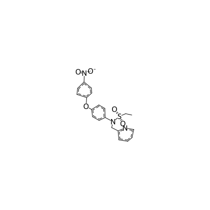 CCS(=O)(=O)N(Cc1ccccn1)c1ccc(Oc2ccc([N+](=O)[O-])cc2)cc1